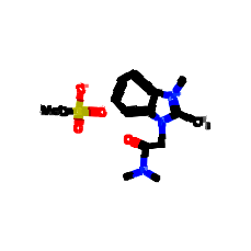 CN(C)C(=O)Cn1c(C(F)(F)F)[n+](C)c2ccccc21.COS(=O)(=O)[O-]